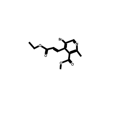 CCOC(=O)/C=C/c1c(Br)cnc(C)c1C(=O)OC